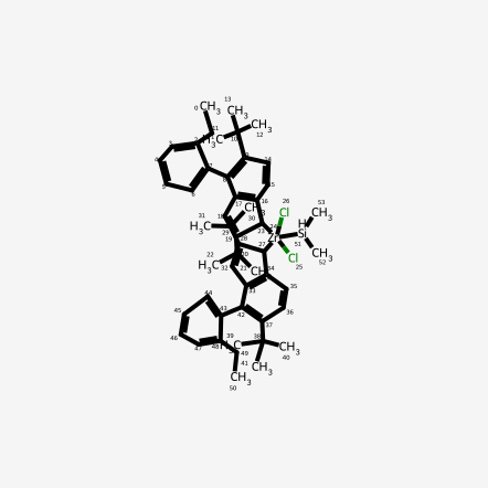 CCc1ccccc1-c1c(C(C)(C)C)ccc2c1C=C(C(C)C)[CH]2[Zr]([Cl])([Cl])([CH]1C(C(C)C)=Cc2c1ccc(C(C)(C)C)c2-c1ccccc1CC)[SiH](C)C